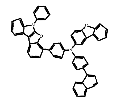 c1ccc(-n2c3ccccc3c3c4cccc(-c5ccc(N(c6ccc(-c7cccc8ccccc78)cc6)c6ccc7oc8ccccc8c7c6)cc5)c4oc32)cc1